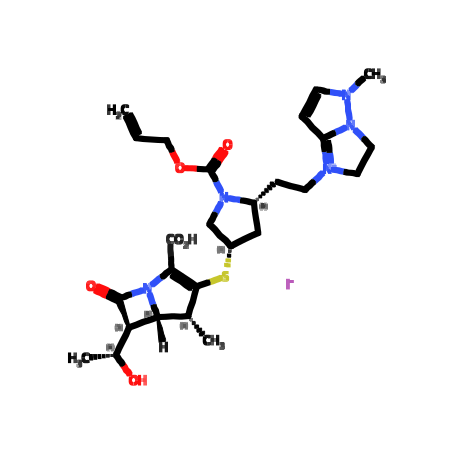 C=CCOC(=O)N1C[C@@H](SC2=C(C(=O)O)N3C(=O)[C@H]([C@@H](C)O)[C@H]3[C@H]2C)C[C@H]1CC[N+]1=C2C=CN(C)N2CC1.[I-]